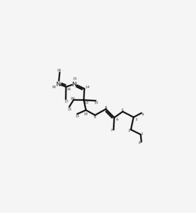 CCCC(C)C/C(C)=C/CC(C)C(C)(/C=N\C(C)=N/C)CC